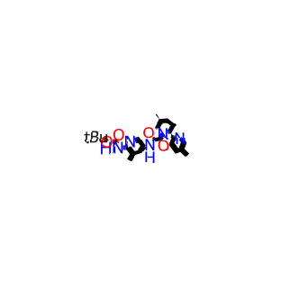 Cc1ccc([C@H]2CC[C@@H](C)CN2C(=O)C(=O)Nc2cnc(NC(=O)OC(C)(C)C)c(C)c2)nc1